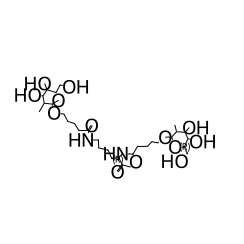 CC(=O)[C@@H](CCCCNC(=O)CCCCOC1OC(CO)C(O)C(O)C1C)NC(=O)CCCCOC1O[C@H](CO)C(O)C(O)C1C